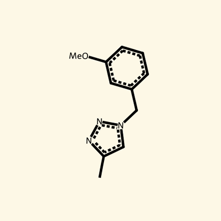 COc1cccc(Cn2cc(C)nn2)c1